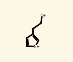 OC[CH]c1cc[nH]c1